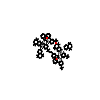 CC(C)(C)c1ccc(N2c3cc(C(C)(C)CCc4ccc5oc6c(c5c4)B4c5cc7c(cc5N(c5ccc8c(c5)C(C)(C)CCC8(C)C)c5cc(C(C)(C)C)cc(c54)N6c4ccc(C(C)(C)C)cc4-c4ccccc4)C(C)(C)CCC7(C)C)cc4c3B(c3cc5c(cc3N4c3ccc4c(c3)C(C)(C)CCC4(C)C)C(C)(C)CCC5(C)C)c3c2oc2ccccc32)c(-c2ccccc2)c1